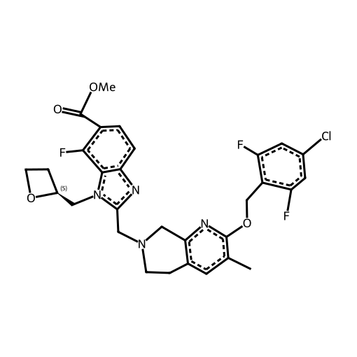 COC(=O)c1ccc2nc(CN3CCc4cc(C)c(OCc5c(F)cc(Cl)cc5F)nc4C3)n(C[C@@H]3CCO3)c2c1F